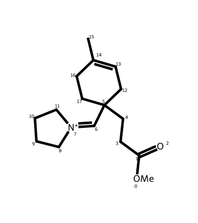 COC(=O)CCC1(C=[N+]2CCCC2)CC=C(C)CC1